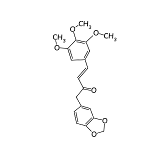 COc1cc(/C=C/C(=O)Cc2ccc3c(c2)OCO3)cc(OC)c1OC